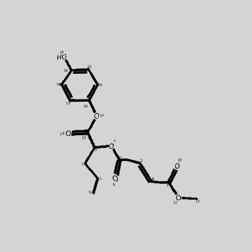 CCCC(OC(=O)C=CC(=O)OC)C(=O)Oc1ccc(O)cc1